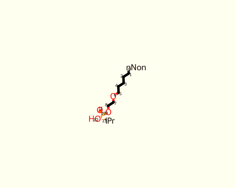 CCCCCCCCCCCCCCOCCOP(=O)(O)C(C)C